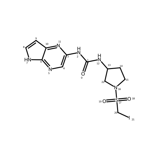 O=C(Nc1cnc2[nH]ccc2n1)NC1CCN(S(=O)(=O)CI)C1